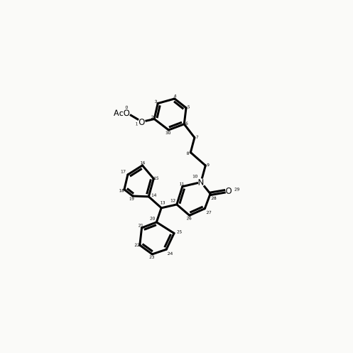 CC(=O)OOc1cccc(CCCn2cc(C(c3ccccc3)c3ccccc3)ccc2=O)c1